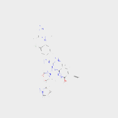 C#Cc1cc2cnc(Nc3ccc(N4CCNCC4C)c(F)c3)nc2n(Cc2ncoc2-c2nccs2)c1=O